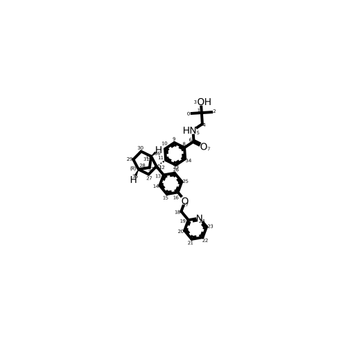 CC(C)(O)CNC(=O)c1ccc([C@]2(c3ccc(OCc4ccccn4)cc3)C[C@@H]3CC[C@H]2C3)cc1